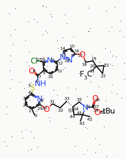 Cc1ccc(SNC(=O)c2ccc(-n3ccc(OCCC4(C(F)(F)F)CC4)n3)nc2Cl)nc1OCCC[C@@H]1CN(C(=O)OC(C)(C)C)C(C)(C)C1